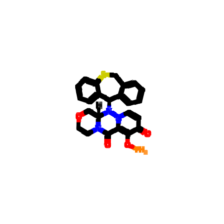 O=C1c2c(OP)c(=O)ccn2N([C@H]2c3ccccc3CSc3ccccc32)[C@@H]2COCCN12